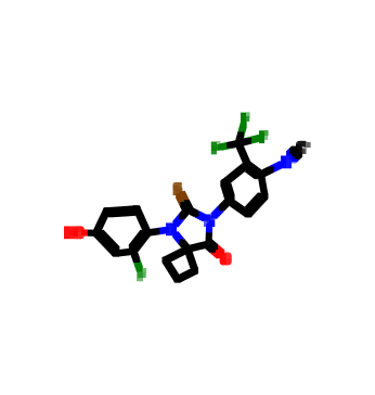 [C-]#[N+]c1ccc(N2C(=O)C3(CCC3)N(c3ccc(O)cc3F)C2=S)cc1C(F)(F)F